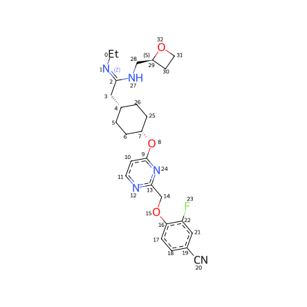 CC/N=C(/C[C@H]1CC[C@@H](Oc2ccnc(COc3ccc(C#N)cc3F)n2)CC1)NC[C@@H]1CCO1